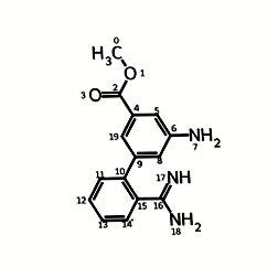 COC(=O)c1cc(N)cc(-c2ccc[c]c2C(=N)N)c1